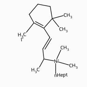 CCCCCCC[N+](C)(C)C(C)C=CC1=C(C)CCCC1(C)C.[I-]